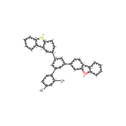 N#Cc1ccc(-c2cc(-c3ccc4c(c3)oc3ccccc34)cc(-c3ccc4sc5ccccc5c4c3)c2)c(C#N)c1